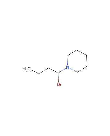 CCCC(Br)N1CCCCC1